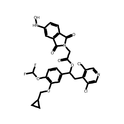 O=C(CN1C(=O)c2ccc(NO)cc2C1=O)OC(Cc1c(Cl)cncc1Cl)c1ccc(OC(F)F)c(OCC2CC2)c1